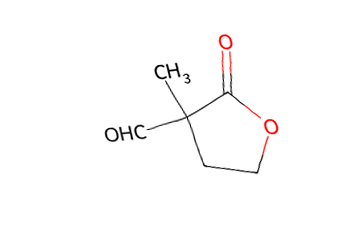 CC1(C=O)CCOC1=O